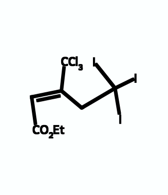 CCOC(=O)C=C(CC(I)(I)I)C(Cl)(Cl)Cl